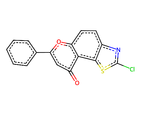 O=c1cc(-c2ccccc2)oc2ccc3nc(Cl)sc3c12